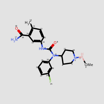 COBN1CCC(N(C(=O)Nc2ccc(C)c(C(N)=O)c2)c2cccc(F)c2)CC1